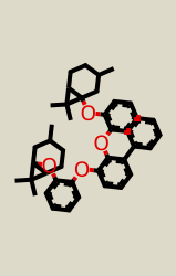 CC1CCC2C(C)(C)C2(Oc2ccccc2Oc2cccc(-c3ccccc3)c2Oc2ccccc2OC23CC(C)CCC2C3(C)C)C1